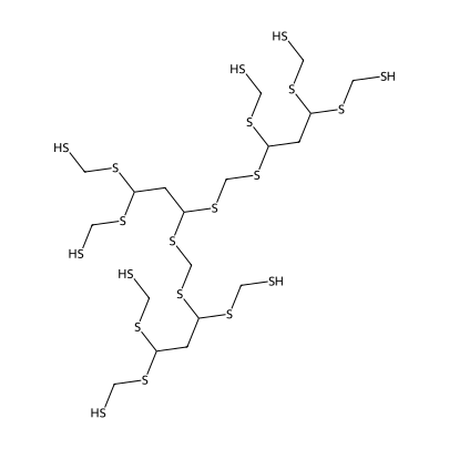 SCSC(CC(SCS)SCSC(CC(SCS)SCS)SCSC(CC(SCS)SCS)SCS)SCS